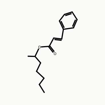 CCCCCC(C)OC(=O)C=Cc1ccccc1